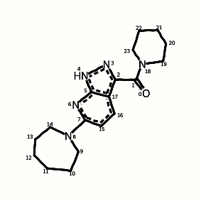 O=C(c1n[nH]c2nc(N3CCCCCC3)ccc12)N1CCCCC1